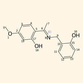 COc1ccc(/C(C)=N/Cc2ccccc2O)c(O)c1